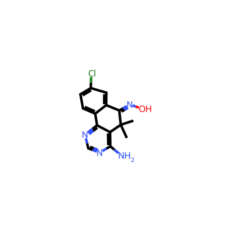 CC1(C)C(=NO)c2cc(Cl)ccc2-c2ncnc(N)c21